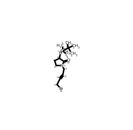 CC(C)(C)[Si](C)(C)OC1CCN(CC#CCBr)C1=O